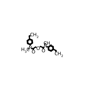 C=Cc1ccc(N(C)C(=O)COCC(=O)N(C)c2ccc(C=C)cc2)cc1